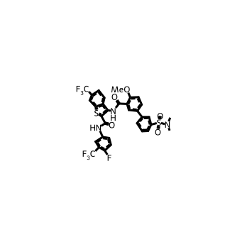 COc1ccc(-c2cccc(S(=O)(=O)N(C)C)c2)cc1C(=O)Nc1c(C(=O)Nc2ccc(F)c(C(F)(F)F)c2)sc2cc(C(F)(F)F)ccc12